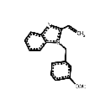 C=Cc1nc2ccccc2n1Cc1cccc(OC)c1